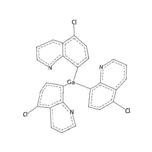 Clc1cc[c]([Ga]([c]2ccc(Cl)c3cccnc23)[c]2ccc(Cl)c3cccnc23)c2ncccc12